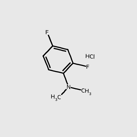 CN(C)c1ccc(F)cc1F.Cl